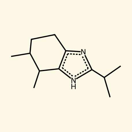 CC(C)c1nc2c([nH]1)C(C)C(C)CC2